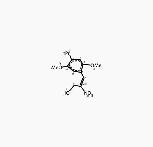 CCCc1cc(OC)c(/C=C(\CO)[N+](=O)[O-])cc1OC